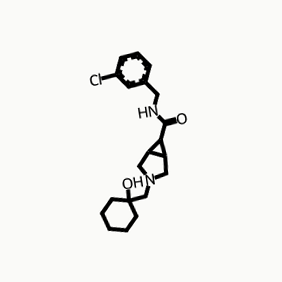 O=C(NCc1cccc(Cl)c1)C1C2CN(CC3(O)CCCCC3)CC21